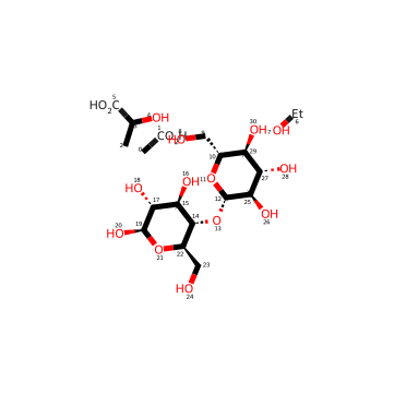 CC(=O)O.CC(O)C(=O)O.CCO.OC[C@H]1O[C@@H](O[C@H]2[C@H](O)[C@@H](O)[C@H](O)O[C@@H]2CO)[C@H](O)[C@@H](O)[C@@H]1O